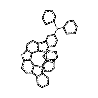 c1ccc(N(c2ccccc2)c2ccc3c(c2)c2ccc4sc5ccc6c7ccccc7n(-c7ccccc7)c6c5c4c2n3-c2ccccc2)cc1